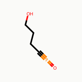 O=P#CCCCO